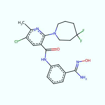 Cc1nc(N2CCCC(F)(F)CC2)c(C(=O)Nc2cccc(C(N)=NO)c2)cc1Cl